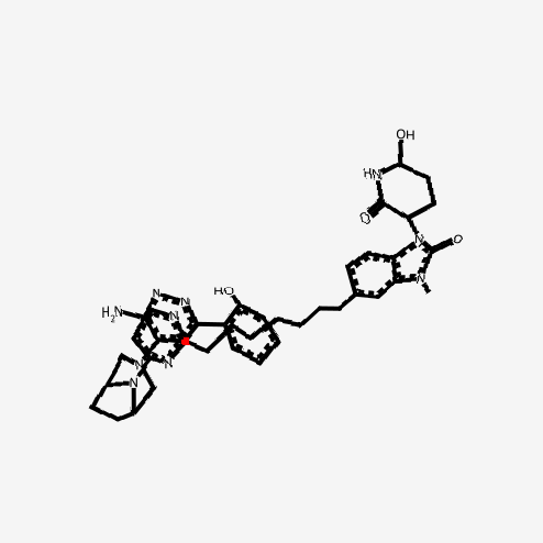 Cn1c(=O)n(C2CCC(O)NC2=O)c2ccc(CCCCCCCc3nccc(N4C5CCC4CN(c4cc(-c6ccccc6O)nnc4N)C5)n3)cc21